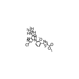 [2H]C([2H])([2H])NC(=O)c1nnc(Cl)cc1Nc1cccc(-c2ncc(C(=O)OCC)s2)c1OC